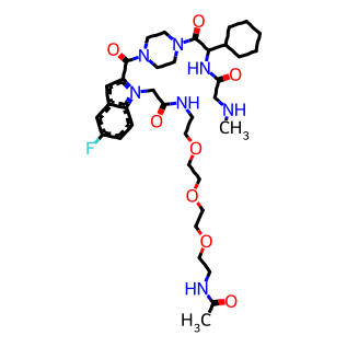 CNCC(=O)NC(C(=O)N1CCN(C(=O)c2cc3cc(F)ccc3n2CC(=O)NCCOCCOCCOCCNC(C)=O)CC1)C1CCCCC1